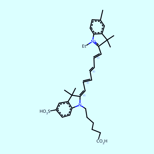 CC[N+]1=C(/C=C/C=C/C=C/C=C2/N(CCCCCC(=O)O)c3ccc(S(=O)(=O)O)cc3C2(C)C)C(C)(C)c2cc(C)ccc21